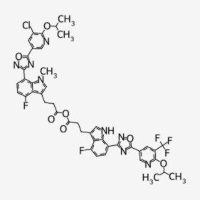 CC(C)Oc1ncc(-c2nc(-c3ccc(F)c4c(CCC(=O)OC(=O)CCc5c[nH]c6c(-c7noc(-c8cnc(OC(C)C)c(C(F)(F)F)c8)n7)ccc(F)c56)cn(C)c34)no2)cc1Cl